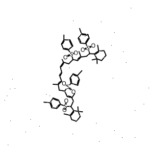 CC(=CC=CC=C(C)CC(C=C(C)CC(C1=C(C)CCCC1(C)C)S(=O)(=O)c1ccc(C)cc1)S(=O)(=O)c1ccc(C)cc1)CC(C=C(C)CC(C1=C(C)CCCC1(C)C)S(=O)(=O)c1ccc(C)cc1)S(=O)(=O)c1ccc(C)cc1